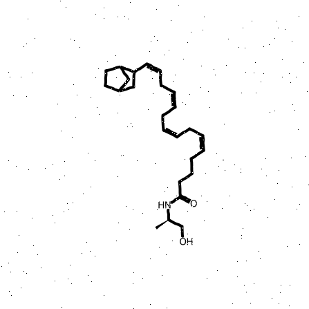 C[C@H](CO)NC(=O)CCC/C=C\C/C=C\C/C=C\C/C=C\C1CC2CCC1C2